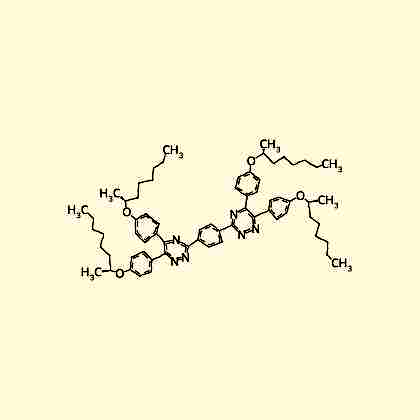 CCCCCC[C@H](C)Oc1ccc(-c2nnc(-c3ccc(-c4nnc(-c5ccc(O[C@@H](C)CCCCCC)cc5)c(-c5ccc(O[C@@H](C)CCCCCC)cc5)n4)cc3)nc2-c2ccc(O[C@@H](C)CCCCCC)cc2)cc1